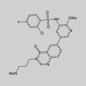 CNCCCn1cnc2ccc(-c3cnc(OC)c(NS(=O)(=O)c4ccc(F)cc4Cl)c3)cc2c1=O